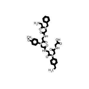 CCc1ccc(N(CC(=O)NCC(=O)O)C(=O)CNC(=O)CN(C(=O)CNC(=O)CN(Cc2ccccc2)C(=O)CN)c2ccc(OC)cc2)cc1